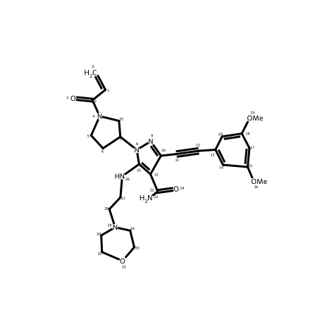 C=CC(=O)N1CCC(n2nc(C#Cc3cc(OC)cc(OC)c3)c(C(N)=O)c2NCCN2CCOCC2)C1